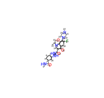 CNC(=O)c1cccc(NNC(=O)c2cn3c4c(c(N5CCN(C)CC5)c(F)cc4c2=O)OC[C@@H]3C)c1